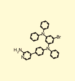 Nc1cc(-c2ccc(N(c3ccccc3)c3cc(Br)cc(N(c4ccccc4)c4ccccc4)c3)cc2)ccn1